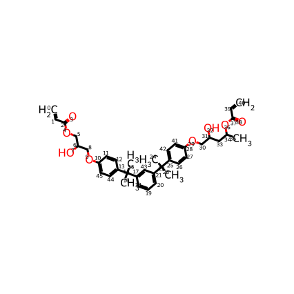 C=CC(=O)OCC(O)COc1ccc(C(C)(C)c2cccc(C(C)(C)c3ccc(OCC(O)CC(C)OC(=O)C=C)cc3)c2)cc1